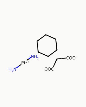 C1CCCCC1.O=C([O-])CC(=O)[O-].[NH2][Pt+2][NH2]